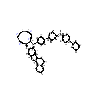 C=C1/C=C\C=C/C/C=C\C=C/1N(c1ccc(-c2ccc(Nc3ccc(-c4ccccc4)cc3)cc2)cc1)c1ccc2sc3c4ccccc4ccc3c2c1